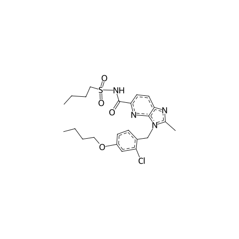 CCCCOc1ccc(Cn2c(C)nc3ccc(C(=O)NS(=O)(=O)CCCC)nc32)c(Cl)c1